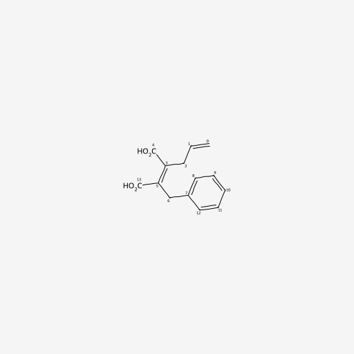 C=CCC(C(=O)O)=C(Cc1ccccc1)C(=O)O